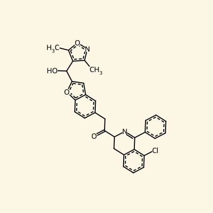 Cc1noc(C)c1C(O)c1cc2cc(CC(=O)C3Cc4cccc(Cl)c4C(c4ccccc4)=N3)ccc2o1